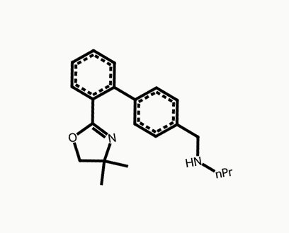 CCCNCc1ccc(-c2ccccc2C2=NC(C)(C)CO2)cc1